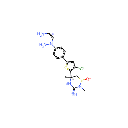 CN1C(=N)N[C@](C)(c2sc(-c3ccc(N(N)/C=C\N)cc3)cc2Cl)C[S+]1[O-]